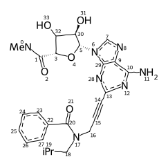 CNC(=O)[C@H]1O[C@@H](n2cnc3c(N)nc(C#CCN(CC(C)C)C(=O)c4ccccc4)nc32)[C@H](O)C1O